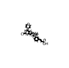 O=C(O)C=Cc1cccc(S(=O)(=O)Nc2cc3nc(Cl)nc(N4CCOCC4)c3s2)c1